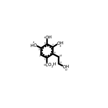 O=C(O)c1cc(O)c(O)c(O)c1CCO